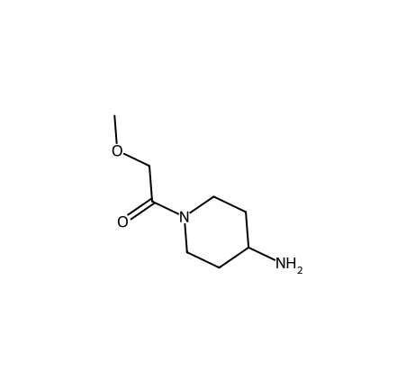 COCC(=O)N1CCC(N)CC1